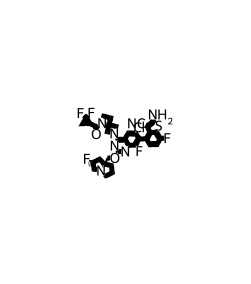 N#Cc1c(N)sc2c(F)ccc(-c3c(Cl)cc4c(N5CC6(CCN6C(=O)C6CC6(F)F)C5)nc(OC[C@@]56CCCN5C[C@H](F)C6)nc4c3F)c12